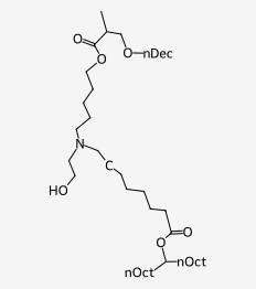 CCCCCCCCCCOCC(C)C(=O)OCCCCCN(CCO)CCCCCCCC(=O)OC(CCCCCCCC)CCCCCCCC